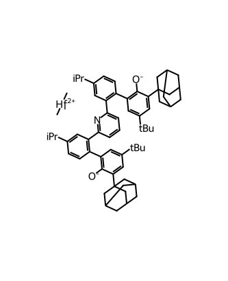 CC(C)c1ccc(-c2cc(C(C)(C)C)cc(C34CC5CC(CC(C5)C3)C4)c2[O-])c(-c2cccc(-c3cc(C(C)C)ccc3-c3cc(C(C)(C)C)cc(C45CC6CC(CC(C6)C4)C5)c3[O-])n2)c1.[CH3][Hf+2][CH3]